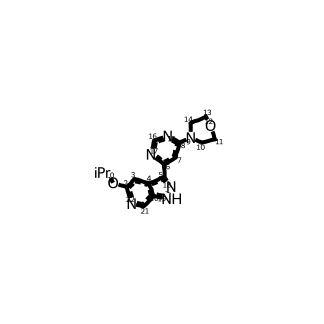 CC(C)Oc1cc2c(-c3cc(N4CCOCC4)ncn3)n[nH]c2cn1